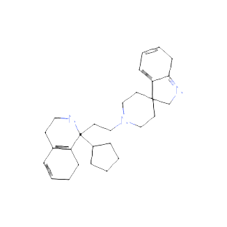 C1=CCC2=NCC3(CCN(CCC4(C5CCCC5)[N]CCC5=C4CCC=C5)CC3)C2=C1